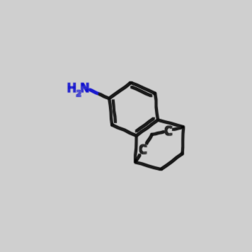 Nc1ccc2c(c1)C1CCCC2CC1